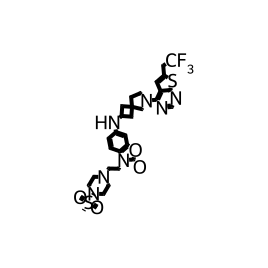 CS(=O)(=O)N1CCN(CCn2c(=O)oc3cc(NC4CC5(CCN(c6ncnc7sc(CC(F)(F)F)cc67)C5)C4)ccc32)CC1